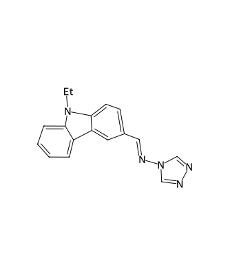 CCn1c2ccccc2c2cc(C=Nn3cnnc3)ccc21